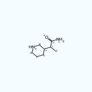 CC(C(N)=O)C1CCCNC1